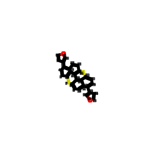 c1cc(-c2ccc3sc4ccc5c(-c6ccoc6)ccc6sc7ccc2c3c7-c4c65)co1